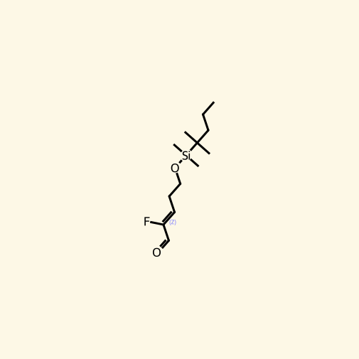 CCCC(C)(C)[Si](C)(C)OCC/C=C(\F)C=O